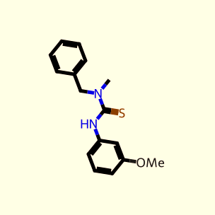 COc1cccc(NC(=S)N(C)Cc2ccccc2)c1